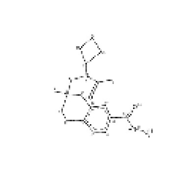 CC(=O)N(CC1(C)CCc2ccc(C(=O)NO)cc2C1)C1CCC1